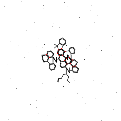 C=CCCC(CCC)N(c1ccc2c(N(c3ccccc3)c3ccccc3-c3ccccc3)c3cc4c(cc3c(N(c3ccccc3)c3ccccc3-c3ccccc3)c2c1)-c1ccccc1C4(C)C)c1ccccc1-c1ccccc1